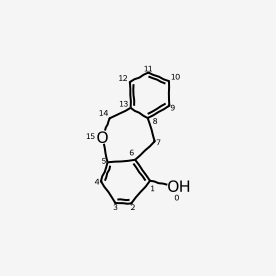 Oc1cccc2c1Cc1ccccc1CO2